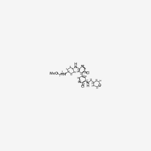 COCCN[C@H]1CC[C@H](Nc2cc(-c3cnc(Cl)c(NCC4CCOCC4)c3)c(Cl)cn2)CC1